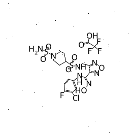 NS(=O)(=O)N1CCC(S(=O)(=O)NCc2nonc2/C(=N/O)Nc2ccc(F)c(Cl)c2)CC1.O=C(O)C(F)(F)F